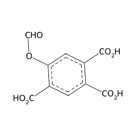 O=COc1cc(C(=O)O)c(C(=O)O)cc1C(=O)O